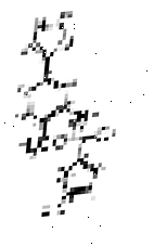 CCc1ccc(S(=O)(=O)Nc2cc(-c3cnco3)ccc2C)o1